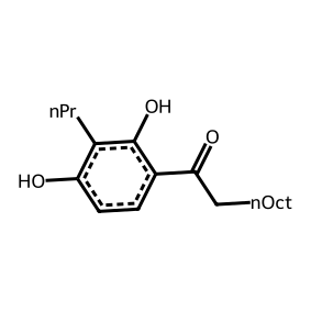 CCCCCCCCCC(=O)c1ccc(O)c(CCC)c1O